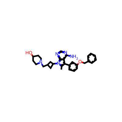 Cc1c(-c2cccc(OCc3ccccc3)c2)c2c(N)ncnc2n1C1CC(CN2CCC(O)CC2)C1